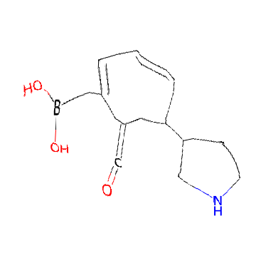 O=C=C1C(B(O)O)=CC=CC1C1CCNC1